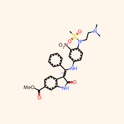 COC(=O)c1ccc2c(c1)NC(=O)/C2=C(\Nc1ccc(N(CCN(C)C)S(C)(=O)=O)c([N+](=O)[O-])c1)c1ccccc1